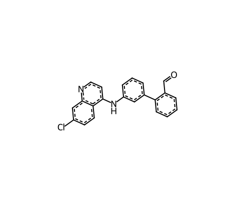 O=Cc1ccccc1-c1cccc(Nc2ccnc3cc(Cl)ccc23)c1